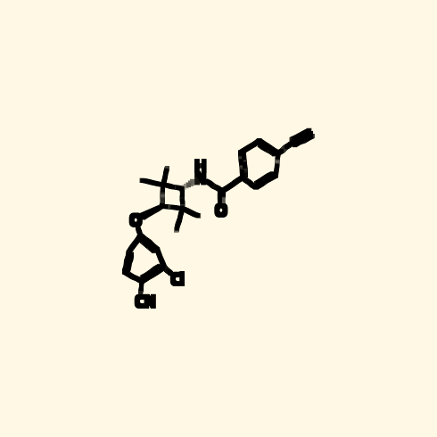 C#Cc1ccc(C(=O)N[C@H]2C(C)(C)[C@H](Oc3ccc(C#N)c(Cl)c3)C2(C)C)cc1